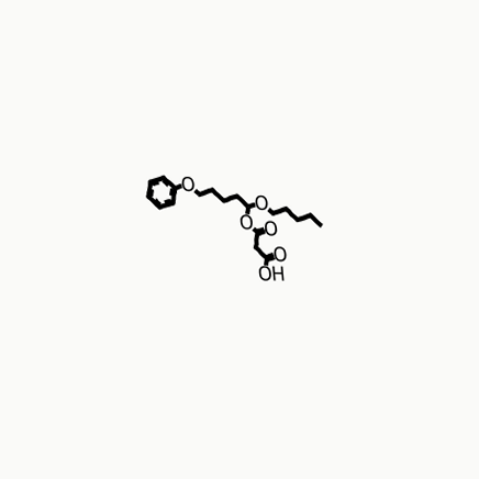 CCCCCOC(CCCCOc1ccccc1)OC(=O)CC(=O)O